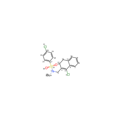 CC[C@@H](C)N(CC1=C(Cl)c2ccccc2CC1)S(=O)(=O)c1ccc(Cl)cc1